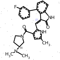 Cc1cc(C(=O)N2CC[C@H](N(C)C)C2)c(/C=C2\C(=O)Nc3cccc(-c4cccc(F)c4)c32)[nH]1